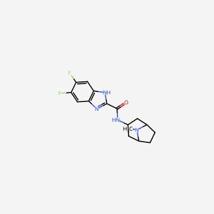 CN1C2CCC1CC(NC(=O)c1nc3cc(F)c(F)cc3[nH]1)C2